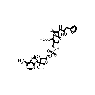 C[C@]1(n2cnc3c(N)ncnc32)CO[C@H](COS(=O)(=O)NCC2=C(C(=O)O)N3C(=O)[C@@H](NC(=O)Cc4cccs4)[C@H]3SC2)[C@H]1O